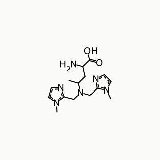 CC(CC(N)C(=O)O)N(Cc1nccn1C)Cc1nccn1C